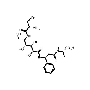 CC(C)C[C@H](N)C(=O)N[C@@H](CO)[C@@H](O)[C@@H](O)[C@H](O)C(=O)N[C@@H](CC(=O)N[C@@H](C)C(=O)O)c1ccccc1